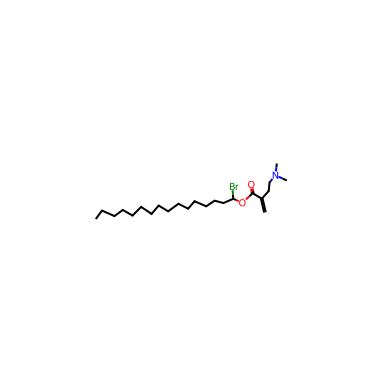 C=C(CCN(C)C)C(=O)OC(Br)CCCCCCCCCCCCCCC